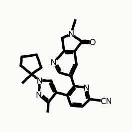 Cc1nn(C2(C)CCCC2)cc1-c1ccc(C#N)nc1-c1cnc2c(c1)C(=O)N(C)C2